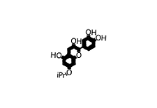 CC(C)Oc1cc(O)c2c(c1)O[C@H](c1ccc(O)c(O)c1)C(O)C2